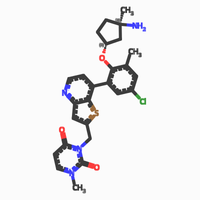 Cc1cc(Cl)cc(-c2ccnc3cc(Cn4c(=O)ccn(C)c4=O)sc23)c1O[C@@H]1CC[C@@](C)(N)C1